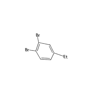 [CH2]Cc1ccc(Br)c(Br)c1